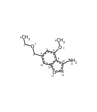 CCOCc1cc(OC)c2c(N)noc2c1